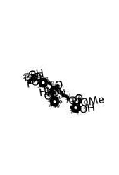 COC(=O)c1c(O)cccc1OCCCCNC(=O)[C@H](Cc1ccc(OP(=O)(O)C(F)F)cc1)NS(=O)(=O)c1ccccc1